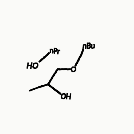 CCCCOCC(C)O.CCCO